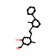 Cc1cc(C=O)c(O)cc1/C=C/c1cccc(-c2ccccc2)c1C